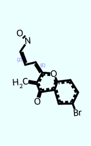 C=c1c(=O)c2cc(Br)ccc2o/c1=C/C=C\N=O